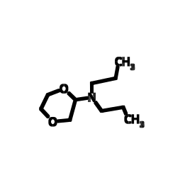 CCCN(CCC)C1COCCO1